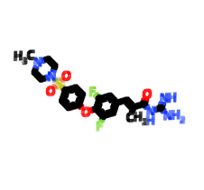 C/C(=C\c1cc(F)c(Oc2ccc(S(=O)(=O)N3CCN(C)CC3)cc2)c(F)c1)C(=O)NC(=N)N